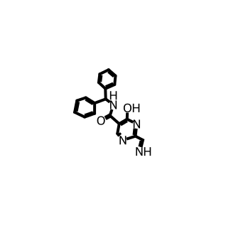 N=Cc1ncc(C(=O)NC(c2ccccc2)c2ccccc2)c(O)n1